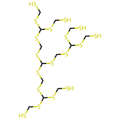 SCSC(SCS)SCSC(SCSC(SCS)SCS)SCSC(SCS)SCS